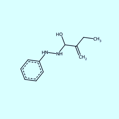 C=C(CC)C(O)NNc1ccccc1